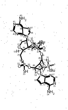 CC(C)(C)[Si](C)(C)OC1[C@@H]2O[C@@H](n3ccc4c(N)ncnc43)[C@@H]1OP(=O)(S)OC[C@H]1OC[C@@](O[Si](C)(C)C(C)(C)C)(n3cnc4c(N)ncnc43)[C@@H]1OP(=O)(S)O2